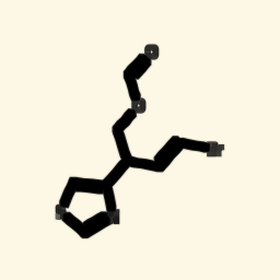 O=COCC(C=CBr)c1cscn1